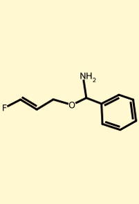 NC(OCC=CF)c1ccccc1